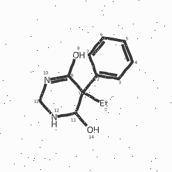 CCC1(c2ccccc2)C(O)=NCNC1O